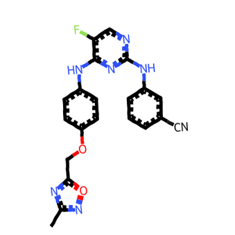 Cc1noc(COc2ccc(Nc3nc(Nc4cccc(C#N)c4)ncc3F)cc2)n1